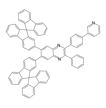 c1ccc(-c2nc3cc(-c4ccc5c(c4)C4(c6ccccc6-c6ccccc64)c4ccccc4-5)c(-c4ccc5c(c4)C4(c6ccccc6-c6ccccc64)c4ccccc4-5)cc3nc2-c2ccc(-c3cccnc3)cc2)cc1